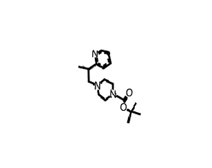 CC(CN1CCN(C(=O)OC(C)(C)C)CC1)c1ccccn1